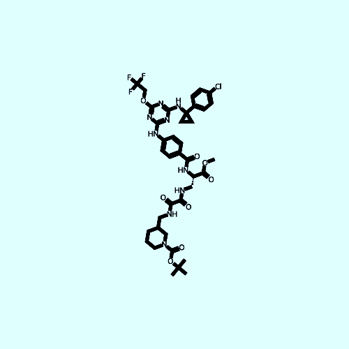 COC(=O)[C@H](CNC(=O)C(=O)NCC1CCCN(C(=O)OC(C)(C)C)C1)NC(=O)c1ccc(Nc2nc(NC3(c4ccc(Cl)cc4)CC3)nc(OCC(F)(F)F)n2)cc1